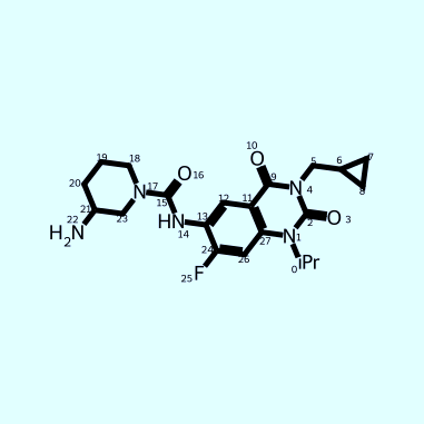 CC(C)n1c(=O)n(CC2CC2)c(=O)c2cc(NC(=O)N3CCCC(N)C3)c(F)cc21